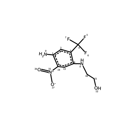 Nc1cc(C(F)(F)F)c(NCCO)cc1[N+](=O)[O-]